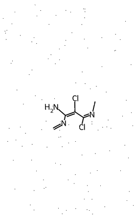 C=N/C(N)=C(Cl)\C(Cl)=N/C